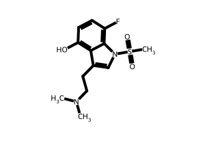 CN(C)CCc1cn(S(C)(=O)=O)c2c(F)ccc(O)c12